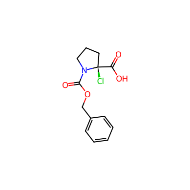 O=C(OCc1ccccc1)N1CCC[C@]1(Cl)C(=O)O